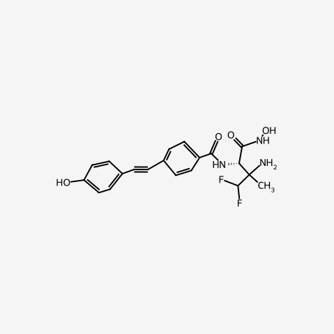 CC(N)(C(F)F)[C@H](NC(=O)c1ccc(C#Cc2ccc(O)cc2)cc1)C(=O)NO